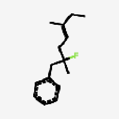 CC/C(C)=C/CC(C)(F)Cc1ccccc1